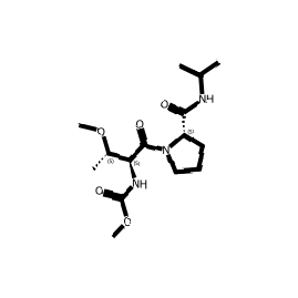 COC(=O)N[C@H](C(=O)N1CCC[C@H]1C(=O)NC(C)C)[C@H](C)OC